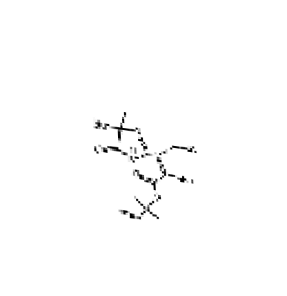 C=CC(C)(C)OC(=O)/C(=C(/CC(C)C)C1=NC(C)(C(C)CC)C(=O)N1)C(C)CC